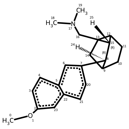 COc1ccc2cc([C@@H]3C4CCC(CC4)[C@H]3CN(C)C)ccc2c1